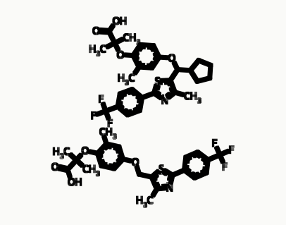 Cc1cc(OC(c2sc(-c3ccc(C(F)(F)F)cc3)nc2C)C2CCCC2)ccc1OC(C)(C)C(=O)O.Cc1cc(OCc2sc(-c3ccc(C(F)(F)F)cc3)nc2C)ccc1OC(C)(C)C(=O)O